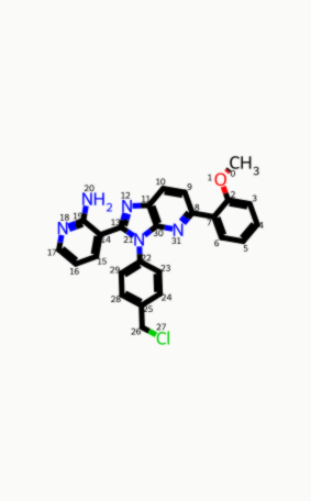 COc1ccccc1-c1ccc2nc(-c3cccnc3N)n(-c3ccc(CCl)cc3)c2n1